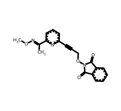 CO/N=C(\C)c1cccc(C#CCON2C(=O)c3ccccc3C2=O)n1